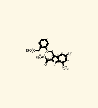 CCOC(=O)Cc1ccccc1OCc1c(C(=O)OC(C)(C)C)oc2c([N+](=O)[O-])cc(Br)cc12